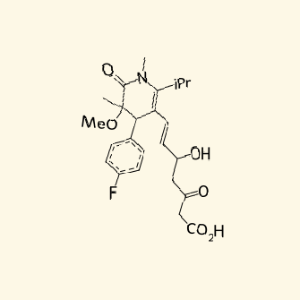 COC1(C)C(=O)N(C)C(C(C)C)=C(C=CC(O)CC(=O)CC(=O)O)C1c1ccc(F)cc1